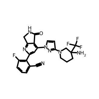 N#Cc1cccc(F)c1-c1cc(-n2ccc(N3CCCC(N)(C(F)(F)F)C3)n2)c2c(n1)CNC2=O